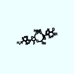 Nc1ncnc2c1ncn2C1OC2COP(=O)(O)OC3C(F)C(OC3n3cnc4c(=O)[nH]cnc43)C(O)COC2C1F